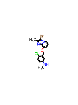 CNc1ccc(Cl)c(COc2cccn3c(Br)c(C)nc23)c1